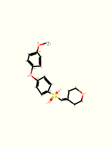 O=S(=O)(C=C1CCOCC1)c1ccc(Oc2ccc(OC(F)(F)F)cc2)cc1